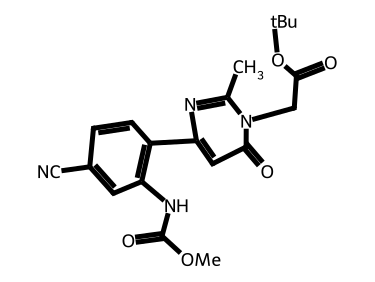 COC(=O)Nc1cc(C#N)ccc1-c1cc(=O)n(CC(=O)OC(C)(C)C)c(C)n1